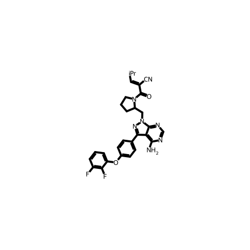 CC(C)C=C(C#N)C(=O)N1CCCC1Cn1nc(-c2ccc(Oc3cccc(F)c3F)cc2)c2c(N)ncnc21